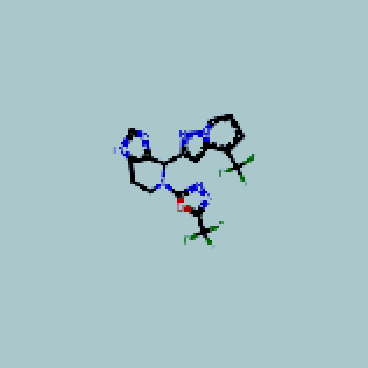 FC(F)(F)c1nnc(N2CCc3[nH]cnc3C2c2cc3c(C(F)(F)F)cccn3n2)o1